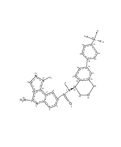 CN(C(=O)c1ccc2nc(N)c3cnn(C)c3c2c1)[C@@H]1COCc2cc(-c3ccc(C(F)(F)F)cc3)ccc21